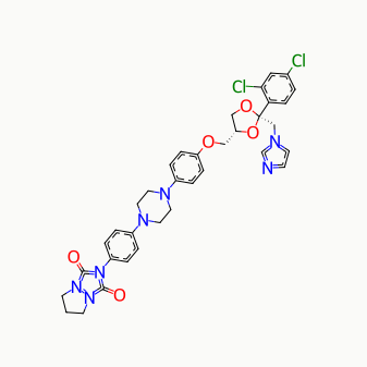 O=c1n(-c2ccc(N3CCN(c4ccc(OC[C@@H]5CO[C@@](Cn6ccnc6)(c6ccc(Cl)cc6Cl)O5)cc4)CC3)cc2)c(=O)n2n1CCC2